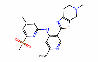 CC(=O)Nc1cc(Nc2cc(C)cc(S(C)(=O)=O)n2)c(-c2nc3c(s2)CN(C)CC3)cn1